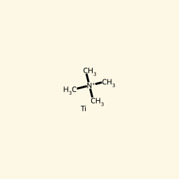 C[N+](C)(C)C.[Ti]